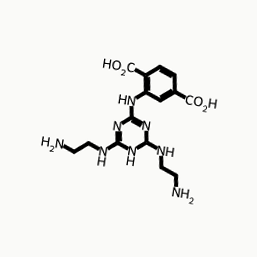 NCCNC1=NC(Nc2cc(C(=O)O)ccc2C(=O)O)=NC(NCCN)N1